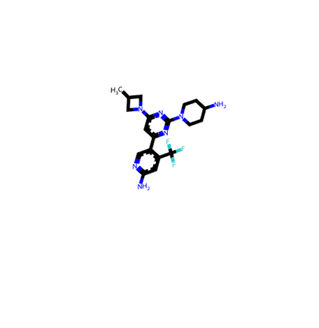 CC1CN(c2cc(-c3cnc(N)cc3C(F)(F)F)nc(N3CCC(N)CC3)n2)C1